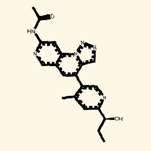 CC[C@H](O)c1cc(C)c(-c2cc3cnc(NC(C)=O)cc3n3nncc23)cn1